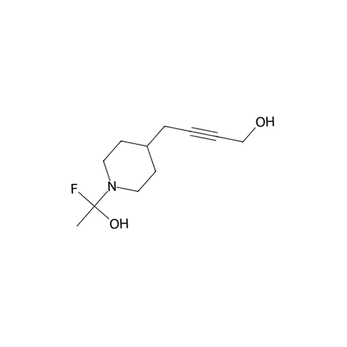 CC(O)(F)N1CCC(CC#CCO)CC1